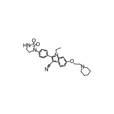 CCn1c(-c2ccc(N3CCNS3(=O)=O)cc2)c(C#N)c2ccc(OCCN3CCCCC3)cc21